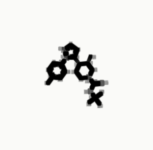 Cc1ccc(-n2nccc2[C@@H]2CCN(C(=O)OC(C)(C)C)C[C@@H]2C)cc1